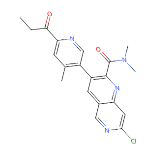 CCC(=O)c1cc(C)c(-c2cc3cnc(Cl)cc3nc2C(=O)N(C)C)cn1